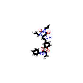 CCCn1c(=O)c2[nH]c(-c3ccc(OC(CC)C(=O)Nc4ccccc4)cc3)cc2n(CCC)c1=O